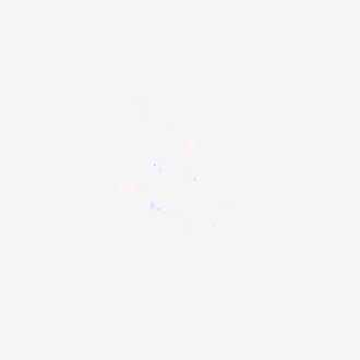 O=c1[nH]c2ccccc2c(=O)n1CCS